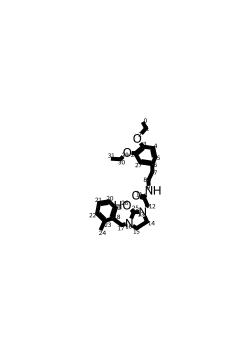 CCOc1ccc(CCNC(=O)CN2CCN(Cc3ccccc3C)C2O)cc1OCC